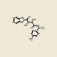 C[C@@H](NC(=O)[C@H](O)[C@@H](O)C(=O)N1Cc2ccccc2C1)c1ccc(O)cc1